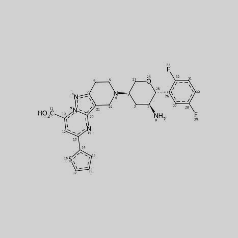 N[C@H]1C[C@@H](N2CCc3nn4c(C(=O)O)cc(-c5cccs5)nc4c3C2)CO[C@@H]1c1cc(F)ccc1F